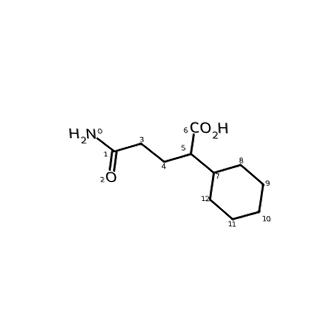 NC(=O)CCC(C(=O)O)C1CCCCC1